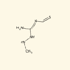 CNN/C(N)=N\C=S